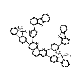 CC1(C)c2ccccc2-c2ccc(-c3cc4ccc5cc(-c6ccc7c(c6)C(C)(C)c6ccccc6-7)c(-c6ccc(-c7cccc8c7sc7ccccc78)cc6)nc5c4nc3-c3ccc(-c4cccc5c4sc4ccccc45)cc3)cc21